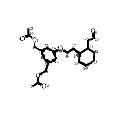 CC(=O)OCc1cc(COC(C)=O)cc(OCCC2CCCCC2CC=O)c1